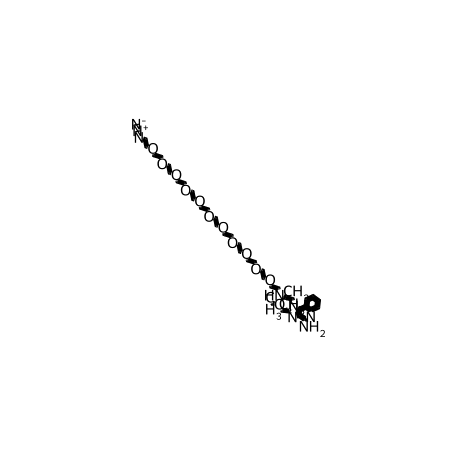 CCOCc1nc2c(N)nc3ccccc3c2n1CC(C)(C)NCCOCCOCCOCCOCCOCCOCCOCCOCCOCCOCCOCCN=[N+]=[N-]